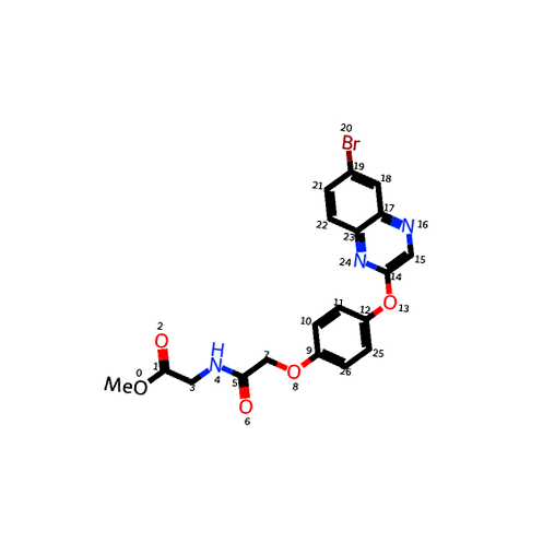 COC(=O)CNC(=O)COc1ccc(Oc2cnc3cc(Br)ccc3n2)cc1